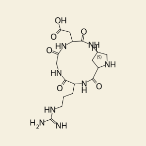 N=C(N)NCCCC1NC(=O)C2C[C@@H](CN2)NC(=O)C(CC(=O)O)NC(=O)CNC1=O